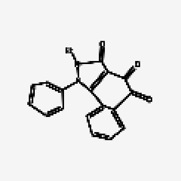 CCn1c(=O)c2c(n1-c1ccccc1)-c1ccccc1C(=O)C2=O